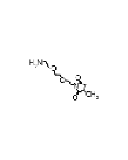 CC1CC(=O)N(CCOCCOCCN)C1=O